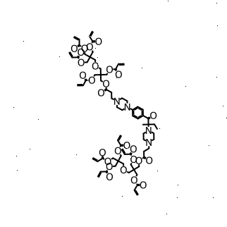 C=CC(=O)OCC(COCC(COC(=O)C=C)(COC(=O)C=C)COC(=O)CCN1CCN(c2ccc(C(=O)C(C)(CC)N3CCN(CCC(=O)OCC(COCC(COC(=O)C=C)(COC(=O)C=C)COC(=O)C=C)(COC(=O)C=C)COC(=O)C=C)CC3)cc2)CC1)(COC(=O)C=C)COC(=O)C=C